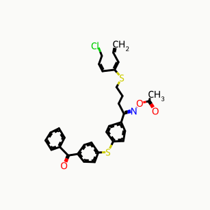 C=C/C=C(\C=C/CCl)SCCC/C(=N\OC(C)=O)c1ccc(Sc2ccc(C(=O)c3ccccc3)cc2)cc1